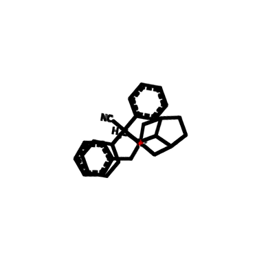 C[N+]1(Cc2ccccc2)CC2CCC(C1)C2CC(C#N)(c1ccccc1)C1CCCCC1